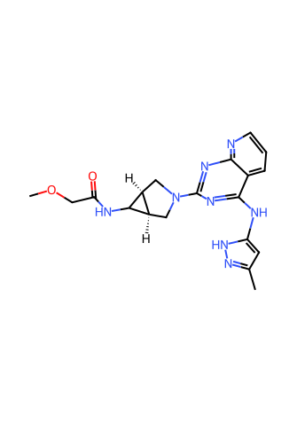 COCC(=O)NC1[C@H]2CN(c3nc(Nc4cc(C)n[nH]4)c4cccnc4n3)C[C@@H]12